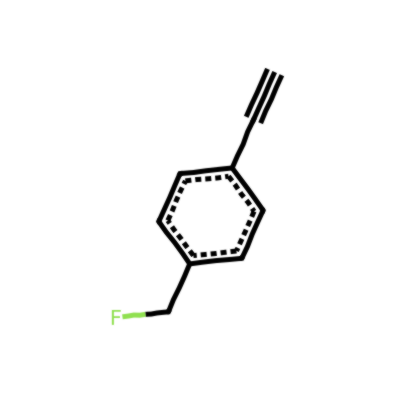 C#Cc1ccc(CF)cc1